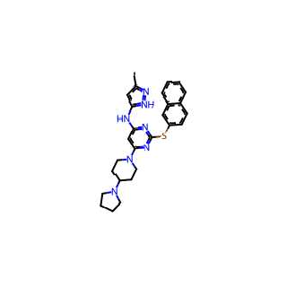 Cc1cc(Nc2cc(N3CCC(N4CCCC4)CC3)nc(Sc3ccc4ccccc4c3)n2)[nH]n1